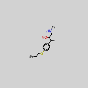 CCNCC(O)C(C)c1ccc(SCCC(C)C)cc1